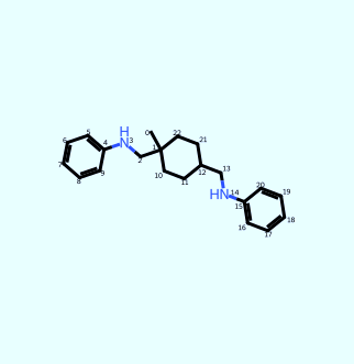 CC1(CNc2ccccc2)CCC(CNc2ccccc2)CC1